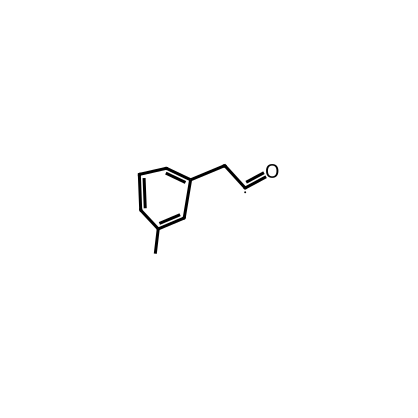 Cc1cccc(C[C]=O)c1